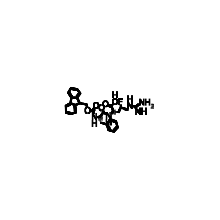 N=C(N)NCC(F)C[C@H](NC(=O)[C@H](Cc1ccccc1)NC(=O)OCC1c2ccccc2-c2ccccc21)C(=O)O